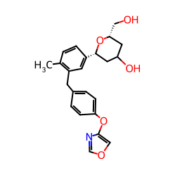 Cc1ccc([C@H]2CC(O)C[C@@H](CO)O2)cc1Cc1ccc(Oc2cocn2)cc1